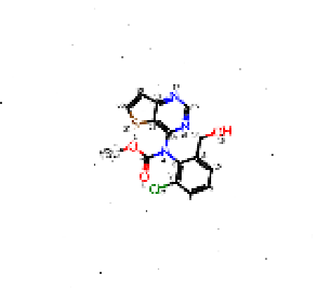 CC(C)(C)OC(=O)N(c1c(Cl)cccc1CO)c1ncnc2ccsc12